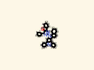 c1ccc(-c2nc(-n3c4cc5c6ccccc6n6c7ccccc7c(c4c4ccc7ccccc7c43)c56)nc3c2oc2ccccc23)cc1